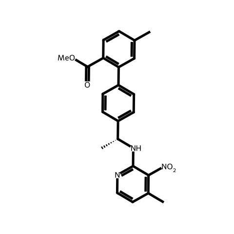 COC(=O)c1ccc(C)cc1-c1ccc([C@@H](C)Nc2nccc(C)c2[N+](=O)[O-])cc1